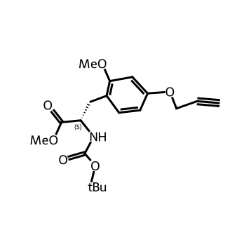 C#CCOc1ccc(C[C@H](NC(=O)OC(C)(C)C)C(=O)OC)c(OC)c1